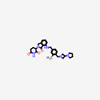 Cc1cc(CNc2cccc3c2C(=O)N(C2CCC(=O)NC2=O)C3)ccc1CN1CC(N2CCCC2)C1